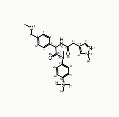 COCc1ccc(C(NC(=O)Cc2cnn(C)c2)C(=O)Nc2ccc([Si](C)(C)C)cc2)cc1